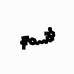 O=C1CCc2ccc(OCCCCN3CCN(C4=CC=CN5ONC=C45)CC3)nc2N1